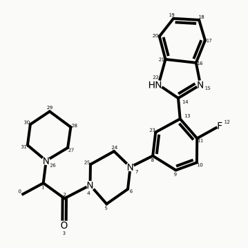 CC(C(=O)N1CCN(c2ccc(F)c(-c3nc4ccccc4[nH]3)c2)CC1)N1CCCCC1